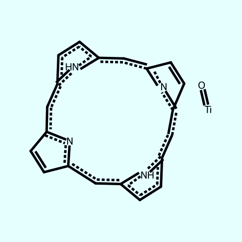 C1=Cc2cc3ccc(cc4nc(cc5ccc(cc1n2)[nH]5)C=C4)[nH]3.[O]=[Ti]